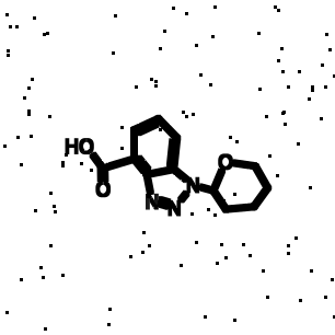 O=C(O)c1cccc2c1nnn2C1CCCCO1